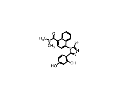 CN(C)C(=O)c1ccc(-n2c(S)nnc2-c2ccc(O)cc2O)c2ccccc12